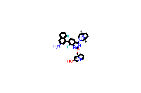 Nc1cc(-c2ccc3c(N4CC[C@@H]5CC[C@H](C4)N5)nc(OC[C@@]45CCCN4C[C@H](O)C5)nc3c2F)c2c(F)cccc2c1